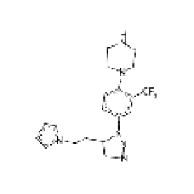 FC(F)(F)c1cc(N2N=NCC2CCn2cccc2)ccc1N1CCNCC1